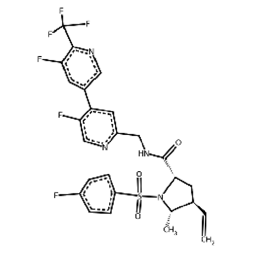 C=C[C@@H]1C[C@@H](C(=O)NCc2cc(-c3cnc(C(F)(F)F)c(F)c3)c(F)cn2)N(S(=O)(=O)c2ccc(F)cc2)[C@H]1C